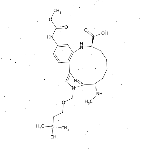 CN[C@H]1CCCC[C@H](C(=O)O)Nc2cc(NC(=O)OC)ccc2-c2cn(COCC[Si](C)(C)C)c1n2